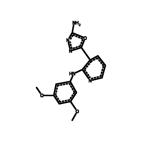 COc1cc(Nc2ncccc2-c2nnc(N)o2)cc(OC)c1